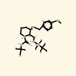 COc1ccc(CNC2CCCN(C(=O)OC(C)(C)C)C2CO[Si](C)(C)C(C)(C)C)cc1